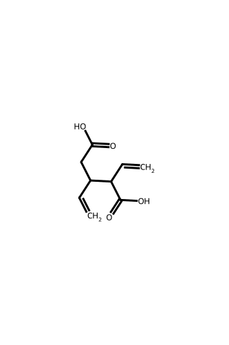 C=CC(CC(=O)O)C(C=C)C(=O)O